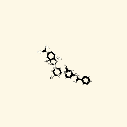 C=C(C)[C@H]1CC[C@@]2(C)S[P@](N3C[C@@H](CC)O[C@@H](n4ccc(NC(=O)c5ccccc5)nc4=O)C3)O[C@@H]2C1